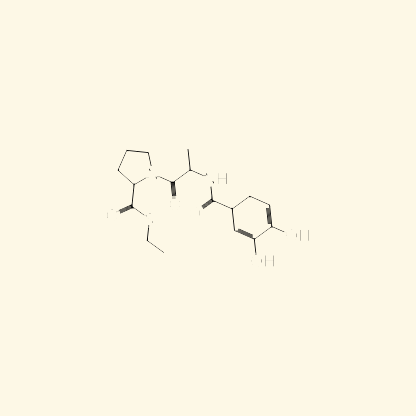 CCSC(=O)C1CCCN1C(=O)C(C)NC(=O)C1C=C(O)C(O)=CC1